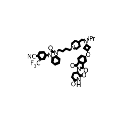 CC(C)N(CC1CCN(CCCCn2c(=O)n(-c3ccc(C#N)c(C(F)(F)F)c3)c3ccccc32)CC1)[C@H]1C[C@H](Oc2ccc3c(c2)C(=O)N(C2CCC(=O)NC2=O)C3=O)C1